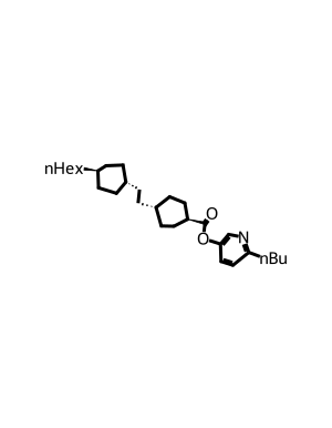 CCCCCC[C@H]1CC[C@H](CC[C@H]2CC[C@H](C(=O)Oc3ccc(CCCC)nc3)CC2)CC1